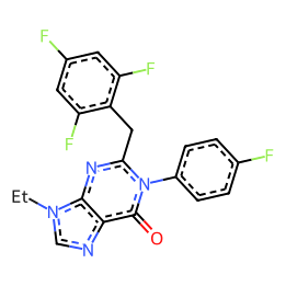 CCn1cnc2c(=O)n(-c3ccc(F)cc3)c(Cc3c(F)cc(F)cc3F)nc21